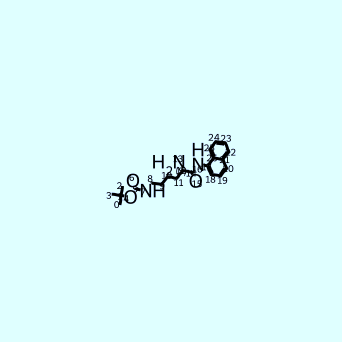 CC(C)(C)OC(=O)NCCCC[C@H](N)C(=O)Nc1cccc2ccccc12